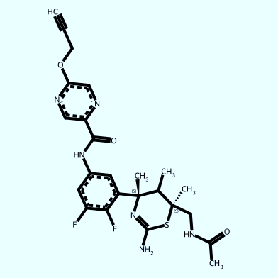 C#CCOc1cnc(C(=O)Nc2cc(F)c(F)c([C@@]3(C)N=C(N)S[C@](C)(CNC(C)=O)C3C)c2)cn1